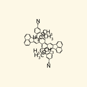 C[Si](C)(C)c1cc(C#N)ccc1-c1c2c(cc3c1ccc1c4cc5c(c(-c6ccc(C#N)cc6[Si](C)(C)C)c4ccc31)-c1cccc3cccc-5c13)-c1cccc3cccc-2c13